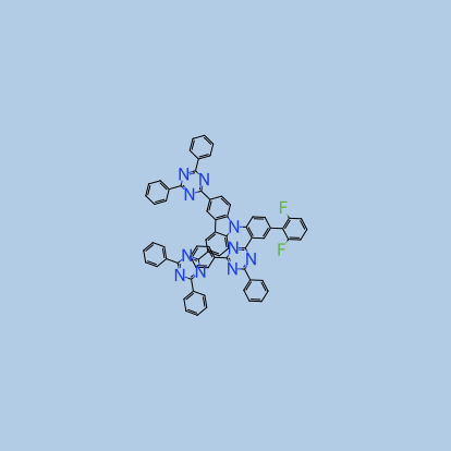 Fc1cccc(F)c1-c1ccc(-n2c3ccc(-c4nc(-c5ccccc5)nc(-c5ccccc5)n4)cc3c3cc(-c4nc(-c5ccccc5)nc(-c5ccccc5)n4)ccc32)c(-c2nc(-c3ccccc3)nc(-c3ccccc3)n2)c1